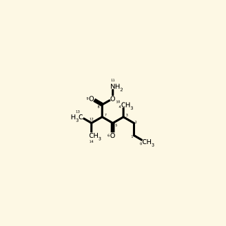 CCCC(C)C(=O)C(C(=O)ON)C(C)C